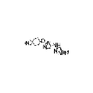 CN1CC2(CCC(Oc3nccc(Nc4cc(C5CC5)[nH]n4)n3)CC2)C1